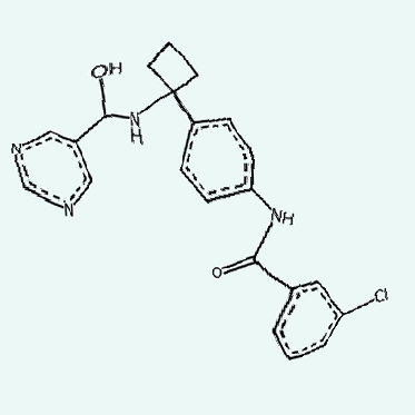 O=C(Nc1ccc(C2(NC(O)c3cncnc3)CCC2)cc1)c1cccc(Cl)c1